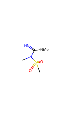 CNC(=N)N(C)S(C)(=O)=O